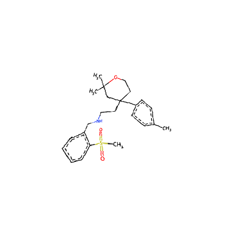 Cc1ccc(C2(CCNCc3ccccc3S(C)(=O)=O)CCOC(C)(C)C2)cc1